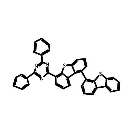 c1ccc(-c2nc(-c3ccccc3)nc(-c3cccc4c3sc3cccc(-c5cccc6c5sc5ccccc56)c34)n2)cc1